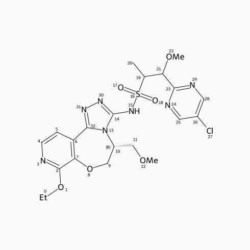 CCOc1nccc2c1OC[C@@H](COC)n1c(NS(=O)(=O)C(C)C(OC)c3ncc(Cl)cn3)nnc1-2